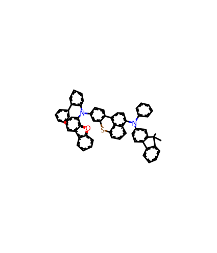 CC1(C)c2ccccc2-c2ccc(N(c3ccccc3)c3ccc4c5c(cccc35)Sc3cc(N(c5ccccc5-c5ccccc5)c5cccc6c5oc5ccccc56)ccc3-4)cc21